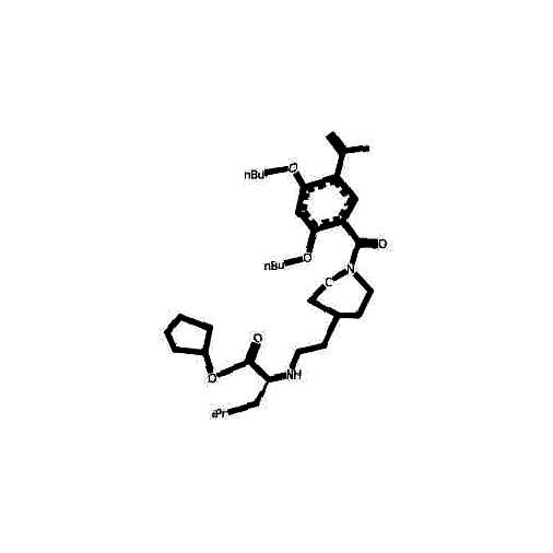 C=C(C)c1cc(C(=O)N2CCC(CCN[C@@H](CC(C)C)C(=O)OC3CCCC3)CC2)c(OCCCC)cc1OCCCC